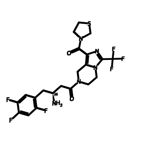 N[C@@H](CC(=O)N1CCn2c(C(F)(F)F)nc(C(=O)N3CCSC3)c2C1)Cc1cc(F)c(F)cc1F